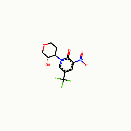 O=c1c([N+](=O)[O-])cc(C(F)(F)F)cn1[C@@H]1CCOC[C@H]1O